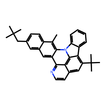 Cc1c2ccc(CC(C)(C)C)cc2cc2c3nccc4cc(C(C)(C)C)c5c6ccccc6n(c12)c5c43